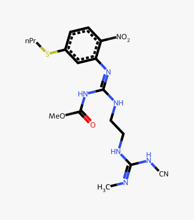 CCCSc1ccc([N+](=O)[O-])c(/N=C(/NCCN/C(=N\C)NC#N)NC(=O)OC)c1